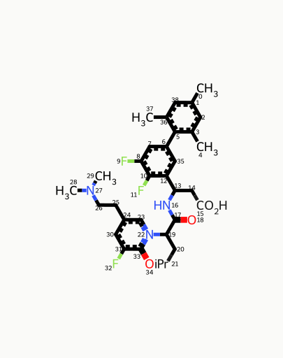 Cc1cc(C)c(-c2cc(F)c(F)c(C(CC(=O)O)NC(=O)C(CC(C)C)n3cc(CCN(C)C)cc(F)c3=O)c2)c(C)c1